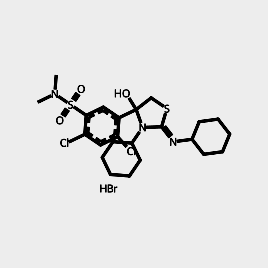 Br.CN(C)S(=O)(=O)c1cc(C2(O)CSC(=NC3CCCCC3)N2C2CCCCC2)c(Cl)cc1Cl